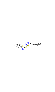 CCOC(=O)CCc1nnc(Sc2ncc(C(=O)O)s2)s1